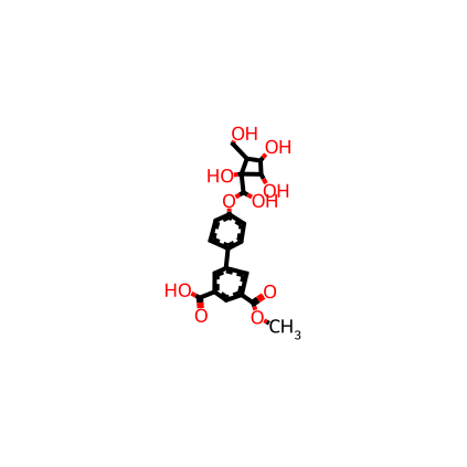 COC(=O)c1cc(C(=O)O)cc(-c2ccc(OC(O)C3(O)C(O)C(O)C3CO)cc2)c1